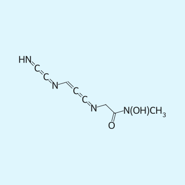 CN(O)C(=O)CN=C=C=CN=C=C=N